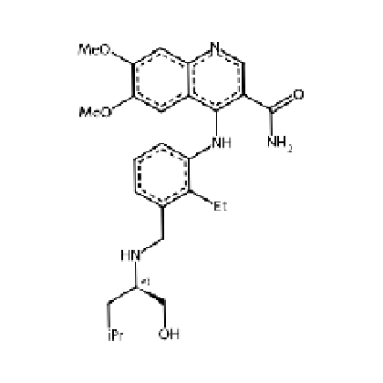 CCc1c(CN[C@@H](CO)CC(C)C)cccc1Nc1c(C(N)=O)cnc2cc(OC)c(OC)cc12